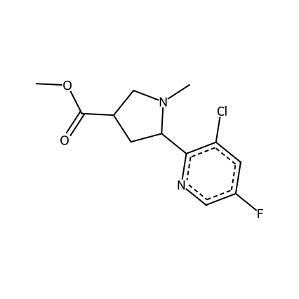 COC(=O)C1CC(c2ncc(F)cc2Cl)N(C)C1